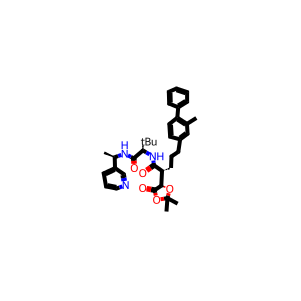 Cc1cc(CCC[C@@H](C(=O)N[C@H](C(=O)N[C@H](C)c2cccnc2)C(C)(C)C)[C@@H]2OC(C)(C)OC2=O)ccc1-c1ccccc1